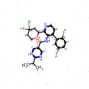 CC(C)c1ncc(C(=O)Nc2c(-c3cc(F)ccc3F)ccnc2C2CC(F)(F)CCO2)cn1